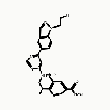 CNC(=O)c1ccc(C(C)CNc2cc(-c3ccc4c(cnn4CCO)c3)ncn2)c(OC)c1